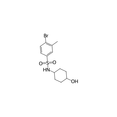 Cc1cc(S(=O)(=O)NC2CCC(O)CC2)ccc1Br